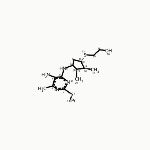 CCCSc1nc(C)c(N)c(NC2C[C@H](SCCO)[C@@H](C)[C@H]2C)n1